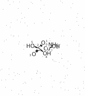 N.O=S(=O)(O)O.[OH][Cu]